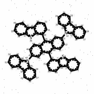 c1ccc2c(c1)sc1c(-c3c4ccc(-n5c6ccccc6c6ccccc65)cc4c(-c4cccc5c4sc4ccccc45)c4ccc(-n5c6ccccc6c6ccccc65)cc34)cccc12